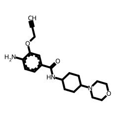 C#CCOc1cc(C(=O)NC2CCC(N3CCOCC3)CC2)ccc1N